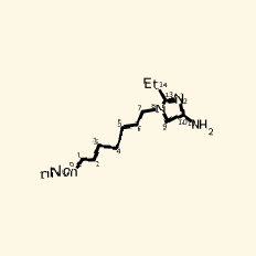 CCCCCCCCCCCCCCCCN1CC(N)N=C1CC